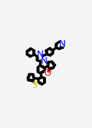 c1ccc(-c2cc(-c3ccc(-c4cccc5sc6ccccc6c45)c4oc5ccccc5c34)nc(-c3ccc(-c4ccncc4)cc3)n2)cc1